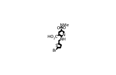 CNS(=O)(=O)c1cnc(NCc2ccc(Br)s2)c(C(=O)O)c1